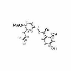 COc1ccc(C=CC(=O)c2ccc(O)cc2O)cc1CC=C(C)C